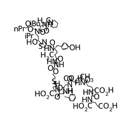 CCCC(=O)OCN(C(=O)[C@@H](NC(=O)[C@H]1CCCCN1C)C(C)CC)[C@H](C[C@@H](O)c1nc(C(=O)N[C@@H](Cc2ccc(O)cc2)C[C@H](C)C(=O)NNC(=O)OCCSSC[C@@H](NC(=O)[C@@H](Cc2ccccc2)NC(=O)[C@H](CC(=O)O)NC(=O)CC[C@@H](C)NC(=O)CC[C@H](NC(=O)N[C@@H](CCC(=O)O)C(=O)O)C(=O)O)C(=O)O)cs1)C(C)C